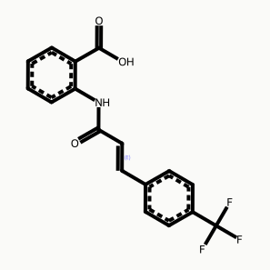 O=C(/C=C/c1ccc(C(F)(F)F)cc1)Nc1ccccc1C(=O)O